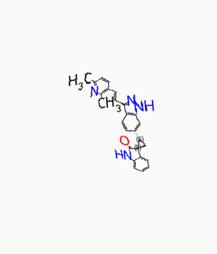 Cc1ccc(C=Cc2n[nH]c3cc([C@@H]4C[C@@]45C(=O)Nc4ccccc45)ccc23)c(C)n1